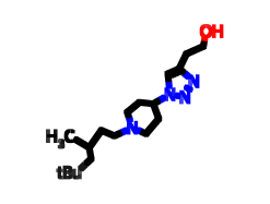 CC(CCN1CCC(n2cc(CCO)nn2)CC1)CC(C)(C)C